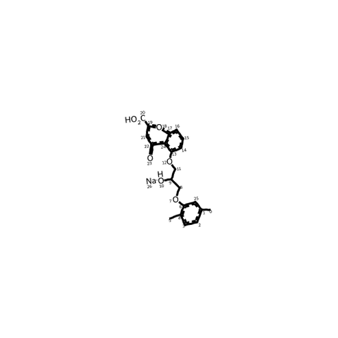 Cc1ccc(C)c(OCC(O)COc2cccc3oc(C(=O)O)cc(=O)c23)c1.[Na]